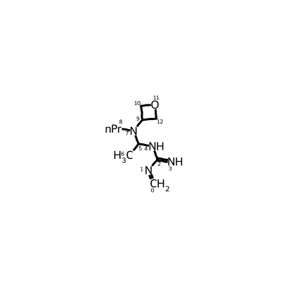 C=NC(=N)NC(C)N(CCC)C1COC1